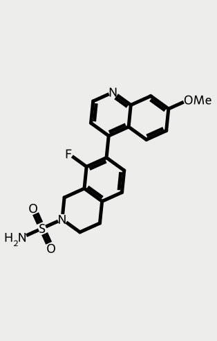 COc1ccc2c(-c3ccc4c(c3F)CN(S(N)(=O)=O)CC4)ccnc2c1